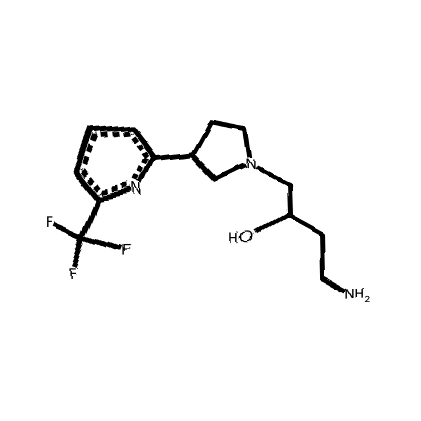 NCCC(O)CN1CCC(c2cccc(C(F)(F)F)n2)C1